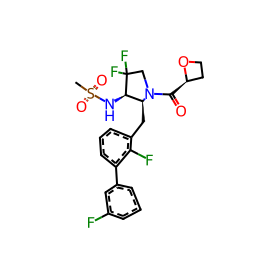 CS(=O)(=O)N[C@@H]1[C@H](Cc2cccc(-c3cccc(F)c3)c2F)N(C(=O)[C@@H]2CCO2)CC1(F)F